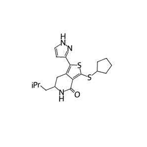 CC(C)CC1Cc2c(-c3cc[nH]n3)sc(SC3CCCC3)c2C(=O)N1